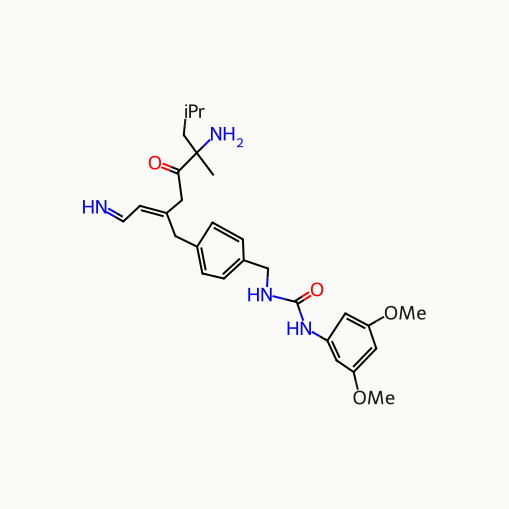 COc1cc(NC(=O)NCc2ccc(C/C(=C\C=N)CC(=O)C(C)(N)CC(C)C)cc2)cc(OC)c1